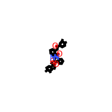 C=CC1(c2ccc(C)c(C)c2)COC2(O1)c1ccccc1-n1c2nc2cccc(CC(=O)c3ccc(C)c(C)c3)c2c1=O